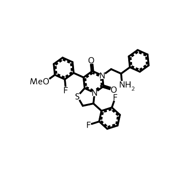 COc1cccc(-c2c3n(c(=O)n(CC(N)c4ccccc4)c2=O)C(c2c(F)cccc2F)CS3)c1F